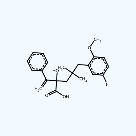 C=C(c1ccccc1)C(O)(CC(C)(C)Cc1cc(F)ccc1OC)C(=O)O